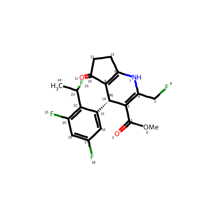 COC(=O)C1=C(CF)NC2=C(C(=O)CC2)[C@H]1c1cc(F)cc(F)c1C(C)F